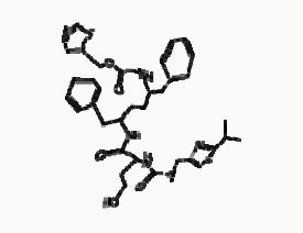 CC(C)c1nc(CN(C)C(=O)NC(CCO)C(=O)NC(CCC(Cc2ccccc2)NC(=O)OCc2cncs2)Cc2ccccc2)cs1